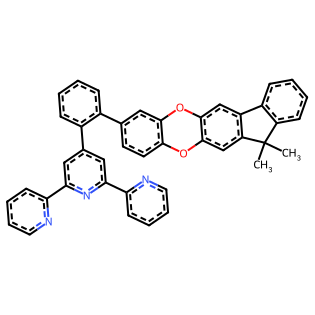 CC1(C)c2ccccc2-c2cc3c(cc21)Oc1ccc(-c2ccccc2-c2cc(-c4ccccn4)nc(-c4ccccn4)c2)cc1O3